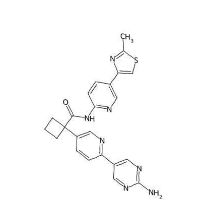 Cc1nc(-c2ccc(NC(=O)C3(c4ccc(-c5cnc(N)nc5)nc4)CCC3)nc2)cs1